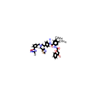 COc1cc(NC(=O)c2cc(=O)c3ccccc3o2)c(C(=O)Nc2ccc(CCN(Cc3cccc(-c4nc(C)no4)c3)Cc3cncs3)cc2)cc1OC